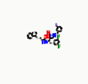 O=C(CCCC1CCc2ccccc21)N[C@@H](Cc1cc(F)cc(F)c1)[C@@H](O)CNCc1cccc(I)c1